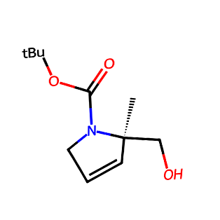 CC(C)(C)OC(=O)N1CC=C[C@]1(C)CO